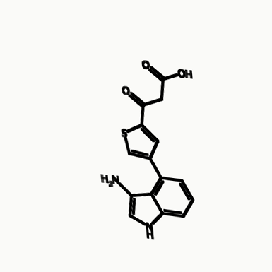 Nc1c[nH]c2cccc(-c3csc(C(=O)CC(=O)O)c3)c12